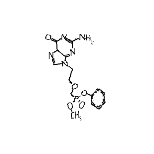 COP(=O)(COCCN1C=NC2C(=O)N=C(N)N=C21)Oc1ccccc1